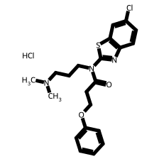 CN(C)CCCN(C(=O)CCOc1ccccc1)c1nc2ccc(Cl)cc2s1.Cl